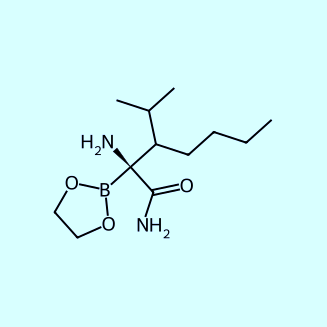 CCCCC(C(C)C)[C@@](N)(B1OCCO1)C(N)=O